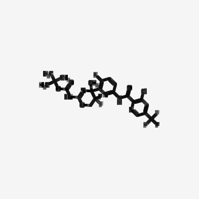 CC(C)(C)OC(=O)NC1=NC(C)(c2nc(NC(=O)c3ncc(C(F)(F)F)cc3Cl)ccc2F)C(F)(F)CO1